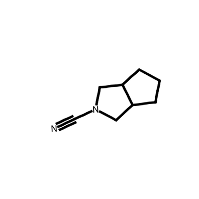 N#CN1CC2CCCC2C1